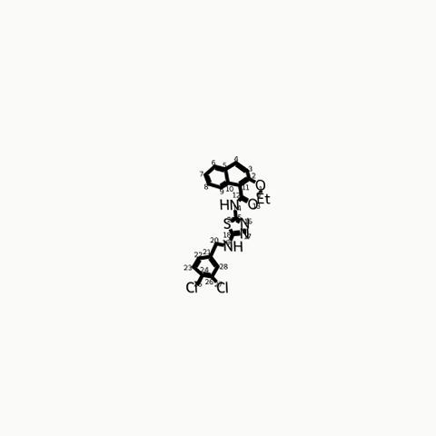 CCOc1ccc2ccccc2c1C(=O)Nc1nnc(NCc2ccc(Cl)c(Cl)c2)s1